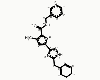 Cc1cc(-c2n[nH]c(CC3=CCCC=C3)n2)sc1C(=O)NCc1cccnc1